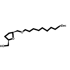 CCCCCCCCCCCCCCCCCCOC[C@@H]1CC[C@H](CO)O1